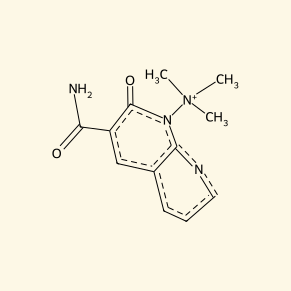 C[N+](C)(C)n1c(=O)c(C(N)=O)cc2cccnc21